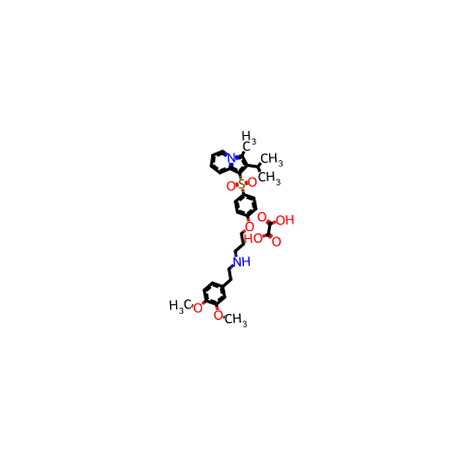 COc1ccc(CCNCCCOc2ccc(S(=O)(=O)c3c(C(C)C)c(C)n4ccccc34)cc2)cc1OC.O=C(O)C(=O)O